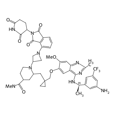 CNC(=O)C1CCN(C2CN(c3cccc4c3C(=O)N(C3CCC(=O)NC3=O)C4=O)C2)C(CC2(COc3cc4c(N[C@H](C)c5cc(N)cc(C(F)(F)F)c5)nc(C)nc4cc3OC)CC2)C1